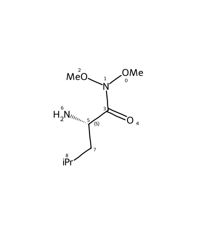 CON(OC)C(=O)[C@@H](N)CC(C)C